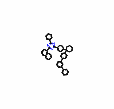 C1=C(c2nc(-c3ccccc3)nc(-c3cccc4ccccc34)n2)CCC(C2(c3ccc(-c4cccc(-c5ccccc5)c4)cc3)CCCCC2)=C1